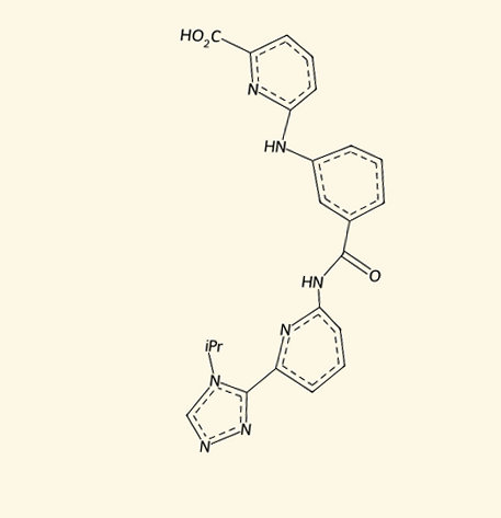 CC(C)n1cnnc1-c1cccc(NC(=O)c2cccc(Nc3cccc(C(=O)O)n3)c2)n1